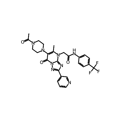 CC(=O)N1CCN(c2c(C)n(CC(=O)Nc3ccc(C(F)(F)F)cc3)c3nc(-c4cccnc4)nn3c2=O)CC1